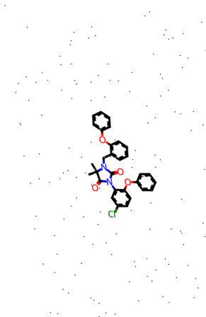 CC1(C)C(=O)N(c2cc(Cl)ccc2Oc2ccccc2)C(=O)N1Cc1ccccc1Oc1ccccc1